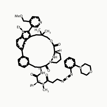 CCn1c(-c2cnccc2COC)c2c3cc(ccc31)-c1cccc(c1)C[C@H](NC(=O)[C@H](C(C)C)N(C)C(=O)CCN=C=Nc1ccccc1N1CCOCC1)C(=O)N1CCC[C@H](N1)C(=O)OCC(C)(C)C2